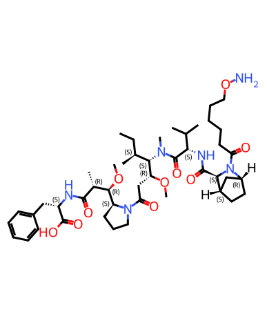 CC[C@H](C)[C@@H]([C@@H](CC(=O)N1CCC[C@H]1[C@H](OC)[C@@H](C)C(=O)N[C@@H](Cc1ccccc1)C(=O)O)OC)N(C)C(=O)[C@@H](NC(=O)[C@@H]1[C@H]2CC[C@H](C2)N1C(=O)CCCCCON)C(C)C